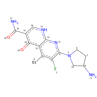 CCc1c(F)c(N2CCC(N)C2)nc2[nH]cc(C(N)=O)c(=O)c12